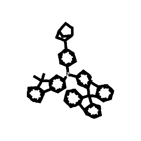 CC1(C)c2ccccc2-c2ccc(N(c3ccc(C4CC5CCC4C5)cc3)c3ccc4c(c3)C3(c5ccccc5-c5ccccc53)c3ccccc3-4)cc21